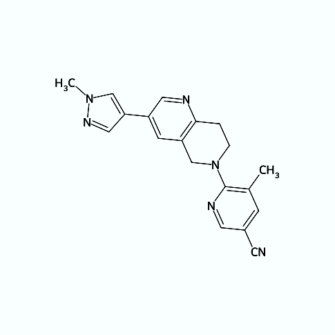 Cc1cc(C#N)cnc1N1CCc2ncc(-c3cnn(C)c3)cc2C1